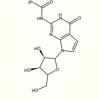 CC(C)C(=O)Nc1nc2c(ccn2C2OC(CO)[C@@H](O)[C@H]2O)c(=O)[nH]1